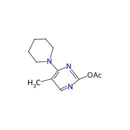 CC(=O)Oc1ncc(C)c(N2CCCCC2)n1